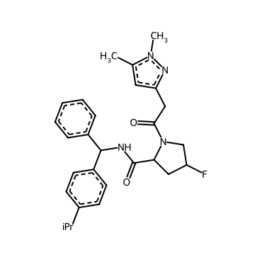 Cc1cc(CC(=O)N2CC(F)CC2C(=O)NC(c2ccccc2)c2ccc(C(C)C)cc2)nn1C